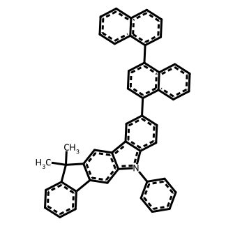 CC1(C)c2ccccc2-c2cc3c(cc21)c1cc(-c2ccc(-c4cccc5ccccc45)c4ccccc24)ccc1n3-c1ccccc1